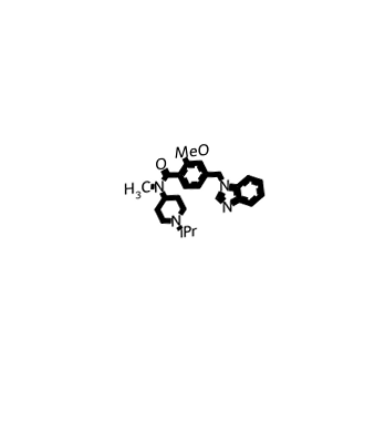 COc1cc(Cn2cnc3ccccc32)ccc1C(=O)N(C)C1CCN(C(C)C)CC1